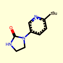 CC(C)(C)c1ccc(N2CCNC2=O)cn1